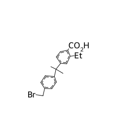 CCc1cc(C(C)(C)c2ccc(CBr)cc2)ccc1C(=O)O